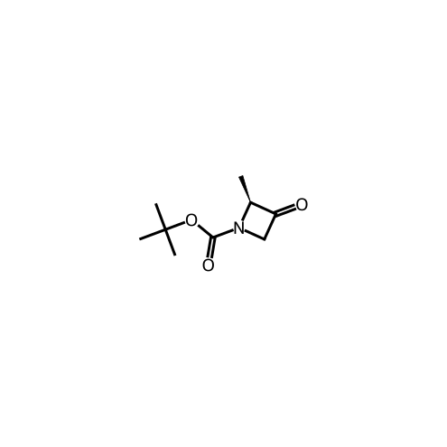 C[C@H]1C(=O)CN1C(=O)OC(C)(C)C